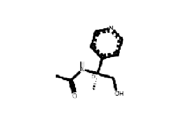 CC(=O)N[C@](C)(CO)c1ccncc1